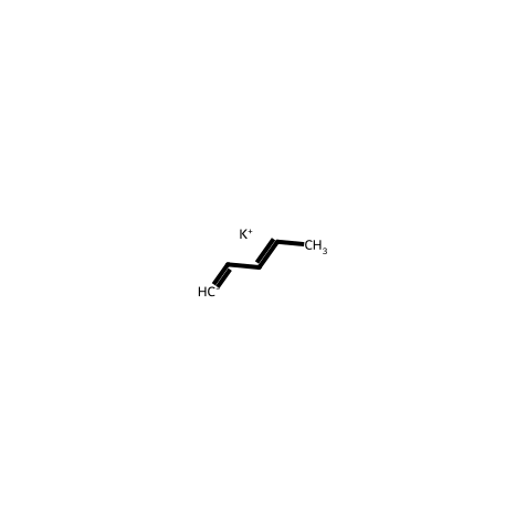 [CH-]=CC=CC.[K+]